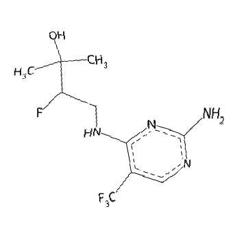 CC(C)(O)C(F)CNc1nc(N)ncc1C(F)(F)F